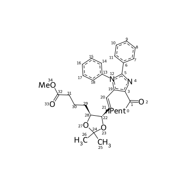 CCCCCC(=O)c1nc(-c2ccccc2)n(-c2ccccc2)c1/C=C/[C@H]1OC(C)(C)O[C@H]1CCCC(=O)OC